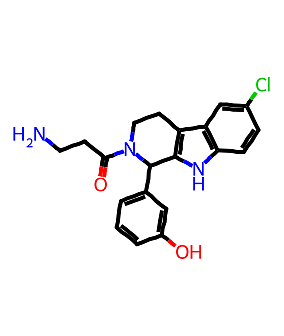 NCCC(=O)N1CCc2c([nH]c3ccc(Cl)cc23)C1c1cccc(O)c1